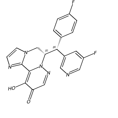 O=c1cnn2c(c1O)-c1nccn1C[C@@H]2[C@H](c1ccc(F)cc1)c1cncc(F)c1